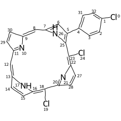 Clc1ccc(-c2cc3cc4nc(cc5ccc([nH]5)c(Cl)c5nc(c(Cl)c2[nH]3)C=C5)C=C4)cc1